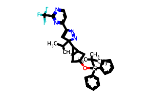 CC(C)C1(C2C3CC(O[Si](c4ccccc4)(c4ccccc4)C(C)(C)C)CC32)C=C(c2ccnc(C(F)(F)F)n2)N=N1